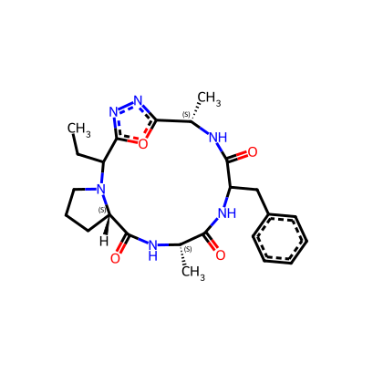 CCC1c2nnc(o2)[C@H](C)NC(=O)C(Cc2ccccc2)NC(=O)[C@H](C)NC(=O)[C@@H]2CCCN12